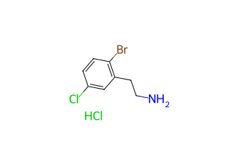 Cl.NCCc1cc(Cl)ccc1Br